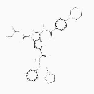 CCC(C)OC(=O)n1nc(NC(=O)c2ccc(N3CCOCC3)cc2)c2sc(C(=O)N[C@H](CN3CCCC3)c3ccccc3)cc21